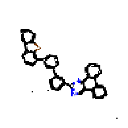 c1cc(-c2cccc(-c3cccc4c3sc3ccccc34)c2)cc(-c2ncc3c4ccccc4c4ccccc4c3n2)c1